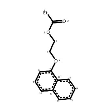 CCC(=O)OCCOc1cccc2ccccc12